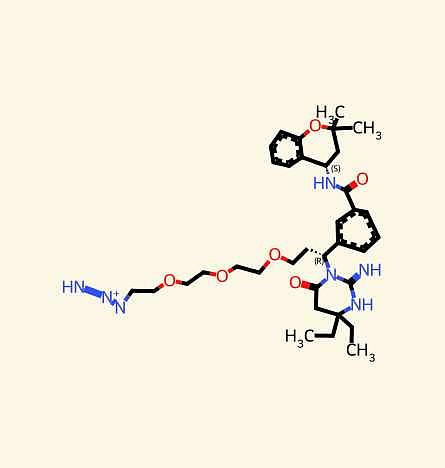 CCC1(CC)CC(=O)N([C@H](CCOCCOCCOCCN=[N+]=N)c2cccc(C(=O)N[C@H]3CC(C)(C)Oc4ccccc43)c2)C(=N)N1